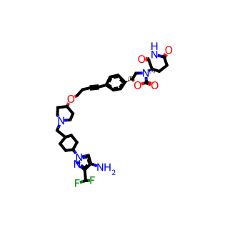 Nc1cn(C2CCC(CN3CCC(OCCC#Cc4ccc([C@@H]5CN([C@@H]6CCC(=O)NC6=O)C(=O)O5)cc4)CC3)CC2)nc1C(F)F